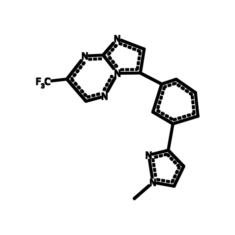 Cn1ccc(-c2cccc(-c3cnc4nc(C(F)(F)F)cnn34)c2)n1